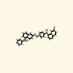 Fc1ccc2cccc(Nc3cc[n+](COc4ccc5c(Nc6ccncc6)cccc5c4)cc3)c2c1